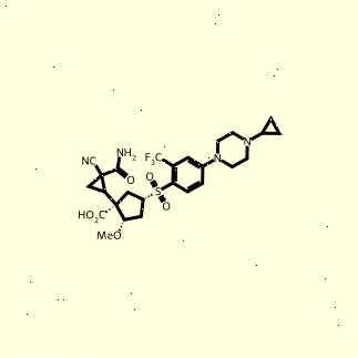 CO[C@H]1C[C@@H](S(=O)(=O)c2ccc(N3CCN(C4CC4)CC3)cc2C(F)(F)F)C[C@]1(C(=O)O)C1CC1(C#N)C(N)=O